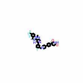 Cc1nc(N[C@H](C)c2cccc(C(F)F)c2F)c2cc(-c3ccc(F)c(CN4CCC(c5ccc([C@@]6(C)CCC(=O)NC6=O)cc5)CC4)c3)ncc2n1